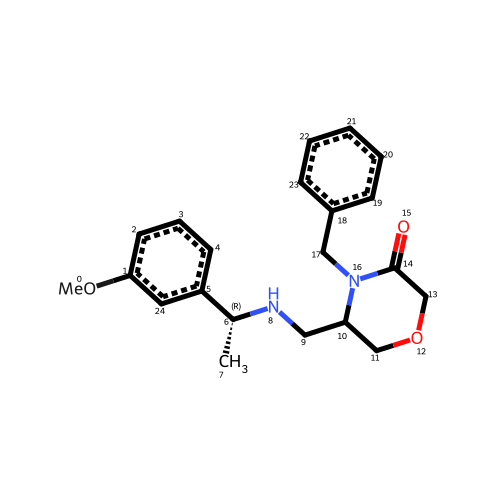 COc1cccc([C@@H](C)NCC2COCC(=O)N2Cc2ccccc2)c1